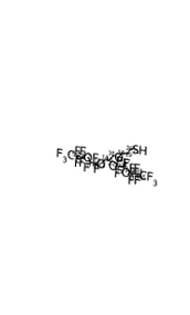 FC(OC(F)(F)C(F)(F)C(F)(F)F)C(F)(F)OCC(COCCCS)OC(F)(F)C(F)OC(F)(F)C(F)(F)C(F)(F)F